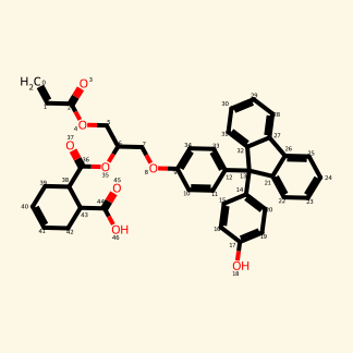 C=CC(=O)OCC(COc1ccc(C2(c3ccc(O)cc3)c3ccccc3-c3ccccc32)cc1)OC(=O)C1CC=CCC1C(=O)O